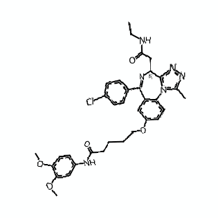 CCNC(=O)C[C@@H]1N=C(c2ccc(Cl)cc2)c2cc(OCCCCC(=O)Nc3ccc(OC)c(OC)c3)ccc2-n2c(C)nnc21